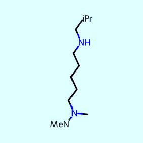 CNN(C)CCCCCNCC(C)C